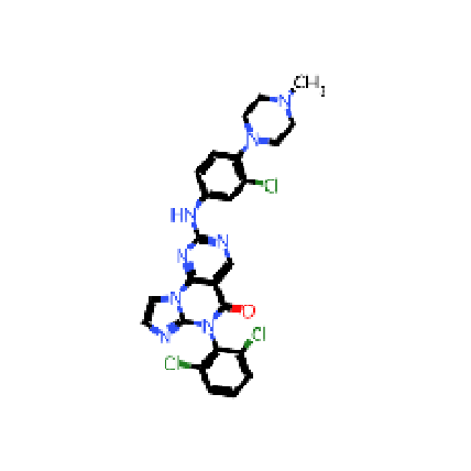 CN1CCN(c2ccc(Nc3ncc4c(=O)n(-c5c(Cl)cccc5Cl)c5nccn5c4n3)cc2Cl)CC1